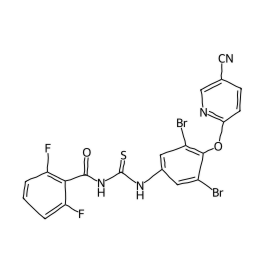 N#Cc1ccc(Oc2c(Br)cc(NC(=S)NC(=O)c3c(F)cccc3F)cc2Br)nc1